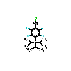 CC(C)[Si](c1c(F)c(F)[c]([Mg][Cl])c(F)c1F)(C(C)C)C(C)C